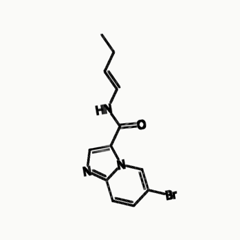 CC/C=C/NC(=O)c1cnc2ccc(Br)cn12